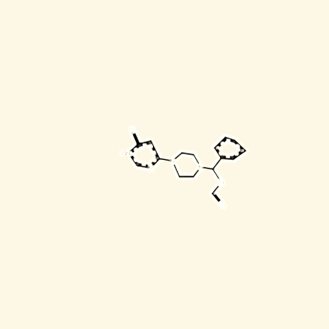 O=COC(c1ccccc1)N1CCN(c2cc(=O)[nH]cn2)CC1